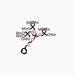 COCC(COC)(COC)COCC(COCCOCc1ccccc1)(COCC(COC)(COC)COC)COCC(COC)(COC)COC